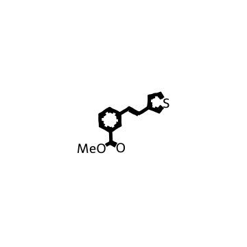 COC(=O)c1cccc(/C=C/c2ccsc2)c1